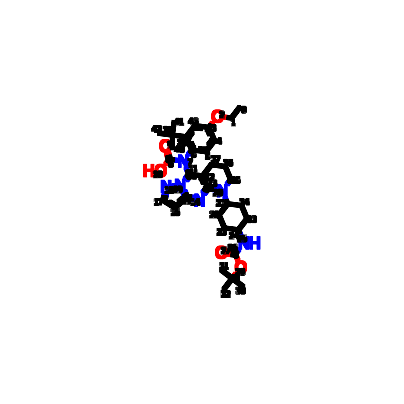 CCOc1ccc(N(C(=O)O)c2c3c(nc4ccnn24)N(C2CCC(NC(=O)OC(C)(C)C)CC2)CCC3)c(C(C)(C)C)c1